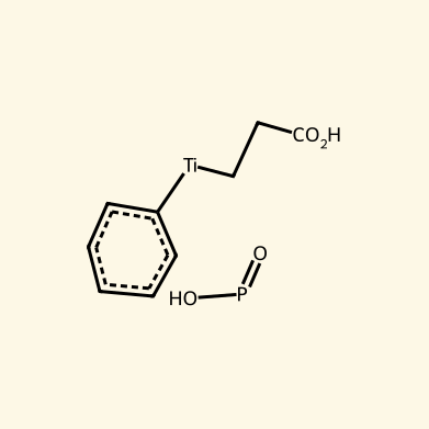 O=C(O)C[CH2][Ti][c]1ccccc1.O=PO